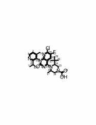 Cc1ccnc(C(C)C)c1-n1c(=O)nc(N2C(C)CN(C(=O)O)CC2C(C)(C)C)c2cc(F)c(Cl)nc21